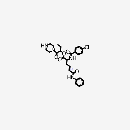 CCC(OC(=O)C(C/C=C/C(=O)Nc1ccccc1)NC(=O)c1ccc(Cl)cc1)C(=O)N1CCNCC1